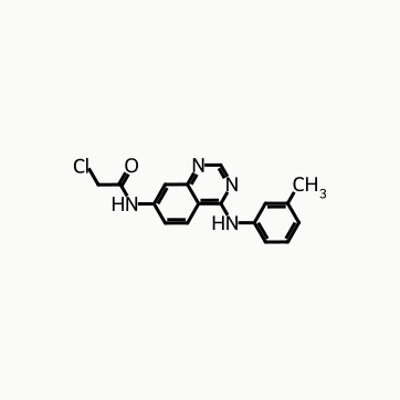 Cc1cccc(Nc2ncnc3cc(NC(=O)CCl)ccc23)c1